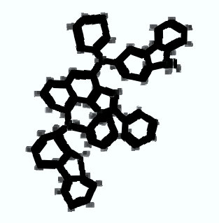 c1ccc(-c2nc3c(N(c4ccccc4)c4ccc5c(c4)-c4ccccc4[SiH2]5)cc4cccc(N(c5ccccc5)c5cccc6c5sc5ccccc56)c4c3o2)cc1